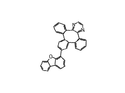 c1ccc2c(c1)-c1ccc(-c3cccc4c3oc3ccccc34)cc1-c1ccccc1-c1nccnc1-2